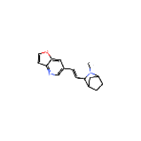 CN1C2CCC(C2)C1C=Cc1cnc2ccoc2c1